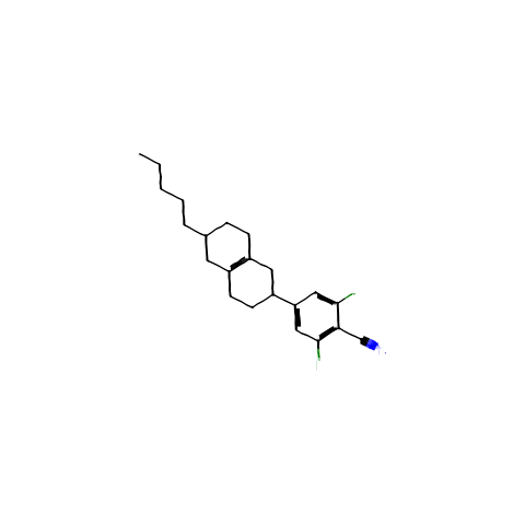 CCCCCC1CCC2=C(CCC(c3cc(F)c(C#N)c(F)c3)C2)C1